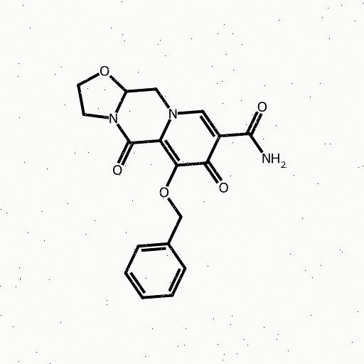 NC(=O)c1cn2c(c(OCc3ccccc3)c1=O)C(=O)N1CCOC1C2